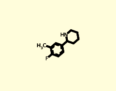 Cc1cc(C2CCCCN2)ccc1F